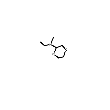 CCN(C)C1CSCC[N]1